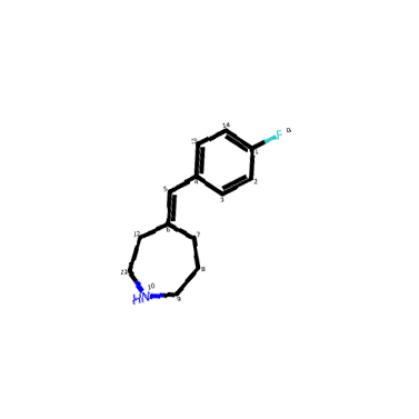 Fc1ccc(/C=C2\CCCNCC2)cc1